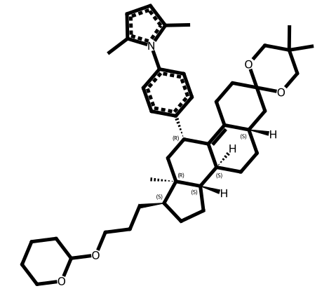 Cc1ccc(C)n1-c1ccc([C@H]2C[C@]3(C)[C@H](CCCOC4CCCCO4)CC[C@H]3[C@@H]3CC[C@H]4CC5(CCC4=C32)OCC(C)(C)CO5)cc1